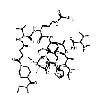 CCC(C)C(=O)C1CCN(C(=O)CCC(=O)NC(C(=O)N[C@@H](CCCNC(N)=O)C(=O)Nc2ccc(C[C@H](NC(=O)[C@H](C)[C@@H](OC)[C@@H]3CCCN3C(=O)C[C@@H](OC)[C@H]([C@@H](C)CC)N(C)C(=O)[C@@H](NC(=O)C(NC)C(C)C)C(C)C)c3nccs3)cc2)C(C)C)CC1